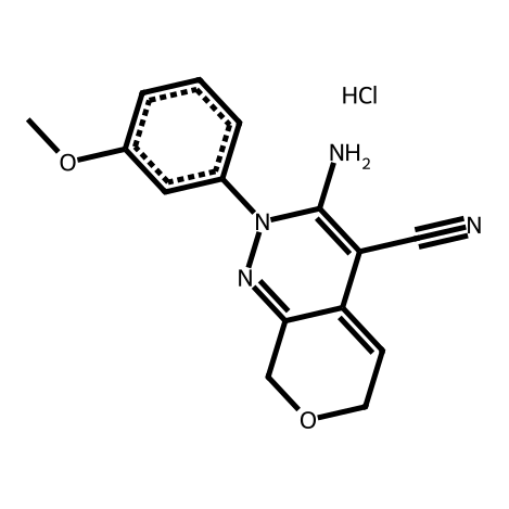 COc1cccc(N2N=C3COCC=C3C(C#N)=C2N)c1.Cl